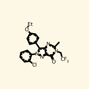 CCOc1ccc(-c2c3nc(C)n(CC(F)(F)F)c(=O)c3nn2-c2ccccc2Cl)cc1